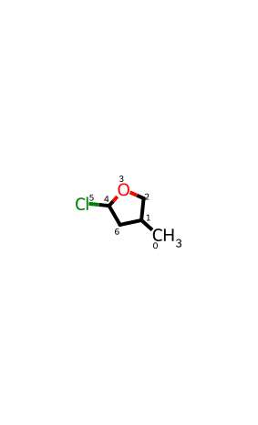 CC1COC(Cl)C1